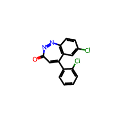 O=c1cc(-c2ccccc2Cl)c2cc(Cl)ccc2nn1